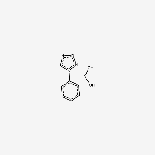 OBO.c1ccc(-n2cnnn2)cc1